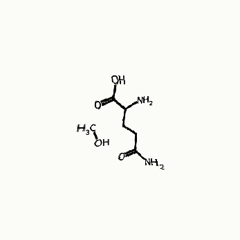 CO.NC(=O)CCC(N)C(=O)O